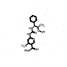 CCCO[C@H](C)[C@@H](NC(=O)Nc1cc(N)c(C(=N)NC)cn1)c1ccccc1